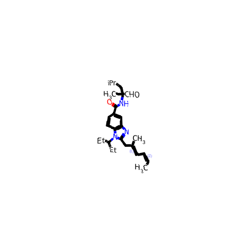 C/C=C\C=C(/C)Cc1nc2cc(C(=O)NC(C)(C=O)CC(C)C)ccc2n1C(CC)CC